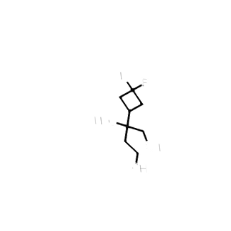 CCCC(C)(CC)C1CC(F)(F)C1